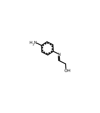 Nc1ccc(N=CCO)cc1